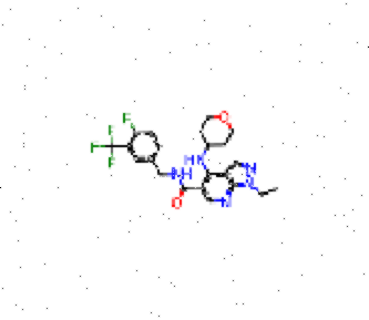 CCn1ncc2c(NC3CCOCC3)c(C(=O)NCc3ccc(F)c(C(F)(F)F)c3)cnc21